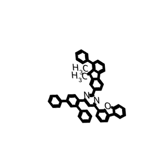 CC1(C)c2cc(-c3nc(-c4ccc(-c5ccccc5)cc4-c4ccccc4)cc(-c4cccc5c4oc4ccccc45)n3)ccc2-c2cccc(-c3ccccc3)c21